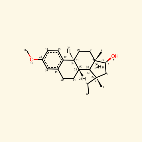 CC[C@@]1(C)C[C@H](O)[C@@]2(C)CC[C@@H]3c4ccc(OC)cc4CC[C@H]3[C@H]12